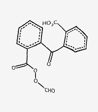 O=COOC(=O)c1ccccc1C(=O)c1ccccc1C(=O)O